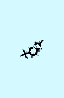 Cc1cn2cc(C(C)(C)C)ccc2n1